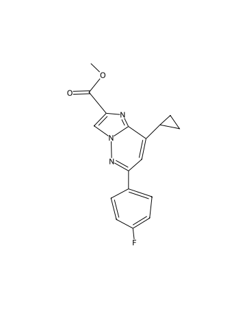 COC(=O)c1cn2nc(-c3ccc(F)cc3)cc(C3CC3)c2n1